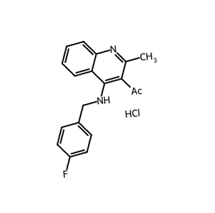 CC(=O)c1c(C)nc2ccccc2c1NCc1ccc(F)cc1.Cl